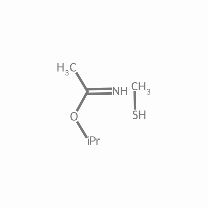 CC(=N)OC(C)C.CS